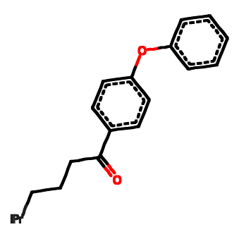 CC(C)CCCC(=O)c1ccc(Oc2ccccc2)cc1